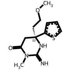 COCC[C@@]1(c2cccs2)CC(=O)N(C)C(=N)N1